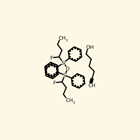 C#CCCCCO.CCCC(F)[Si](O[Si](c1ccccc1)(c1ccccc1)C(F)CCC)(c1ccccc1)c1ccccc1